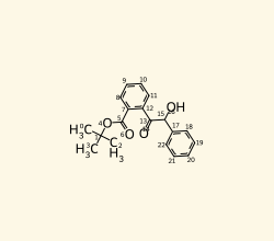 CC(C)(C)OC(=O)c1ccccc1C(=O)C(O)c1ccccc1